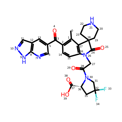 Cc1c(C(=O)c2cnc3[nH]ncc3c2)ccc2c1C1(CCNCC1)C(=O)N2CC(=O)N1CC(F)(F)C[C@@H]1C(=O)O